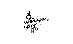 CNC(=O)C(=O)C(C[C@@H]1CCNC1=O)NC(=O)c1cc(Cl)ccc1NC(=O)[C@H]1CC1(F)F